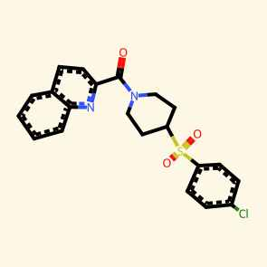 O=C(c1ccc2ccccc2n1)N1CCC(S(=O)(=O)c2ccc(Cl)cc2)CC1